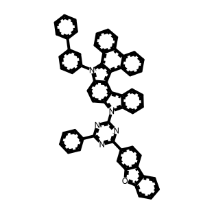 c1ccc(-c2cccc(-n3c4ccc5c(c6ccccc6n5-c5nc(-c6ccccc6)nc(-c6ccc7c(c6)oc6ccccc67)n5)c4c4c5ccccc5c5ccccc5c43)c2)cc1